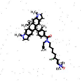 C#CCN(CCCCCC(F)/C=C/[N+]([O-])(CC)CC)C(=O)c1ccc(C2=c3cc4c(cc3[Si](C)(C)c3cc5c(cc32)CCN5C)=[N+](C)CC4)c(C)c1